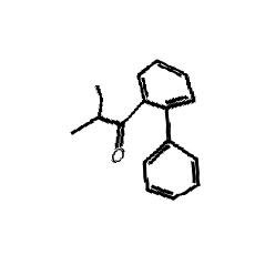 CC(C)C(=O)c1ccccc1-c1ccccc1